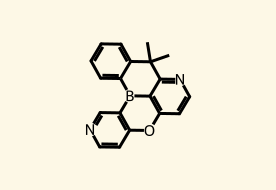 CC1(C)c2ccccc2B2c3cnccc3Oc3ccnc1c32